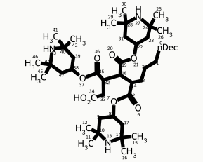 CCCCCCCCCCCCCC(C(=O)OC1CC(C)(C)NC(C)(C)C1)C(C(=O)OC1CC(C)(C)NC(C)(C)C1)C(CC(=O)O)C(=O)OC1CC(C)(C)NC(C)(C)C1